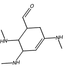 CNC1=CC(NC)C(NC)C(C=O)C1